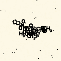 CC(C)C[C@H](N[C@H](CCN1C(=O)c2cc3ccccc3cc2C1=O)C(=O)OC(C)(C)C)C(=O)NCc1ccc(NS(C)(=O)=O)cc1